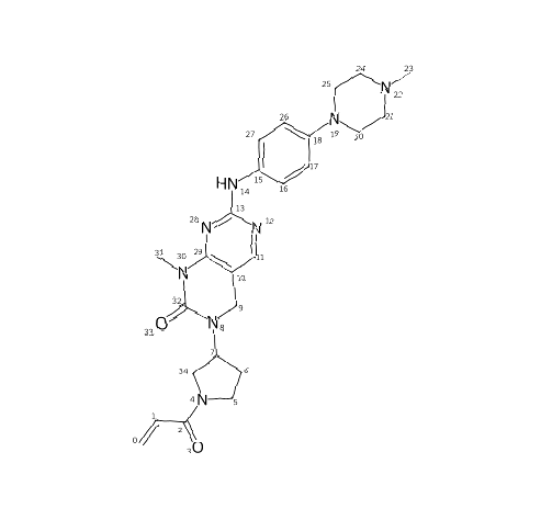 C=CC(=O)N1CCC(N2Cc3cnc(Nc4ccc(N5CCN(C)CC5)cc4)nc3N(C)C2=O)C1